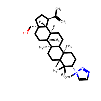 C=C(C)[C@@H]1CC[C@]2(CO)CC[C@]3(C)[C@H](CCC4[C@@]5(C)CC[C@H]([N+]6(C(=O)[O-])C=CN=N6)C(C)(C)[C@@H]5CC[C@]43C)[C@@H]12